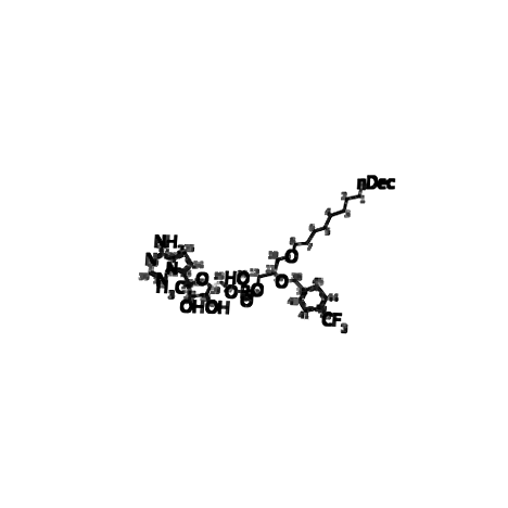 CCCCCCCCCCCCCCCCCCOC[C@H](COP(=O)(O)OC[C@H]1O[C@@](C)(c2ccc3c(N)ncnn23)[C@H](O)[C@@H]1O)OCc1ccc(C(F)(F)F)cc1